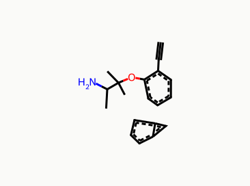 C#Cc1ccccc1OC(C)(C)C(C)N.c1cc2cc-2c1